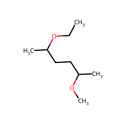 [CH2]C(CCC(C)OC)OCC